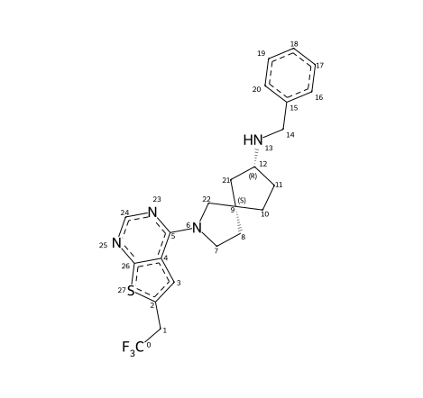 FC(F)(F)Cc1cc2c(N3CC[C@]4(CC[C@@H](NCc5ccccc5)C4)C3)ncnc2s1